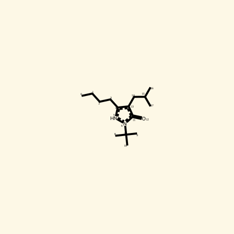 CCCCc1[nH]n(C(C)(C)C)c(=O)c1CC(C)C